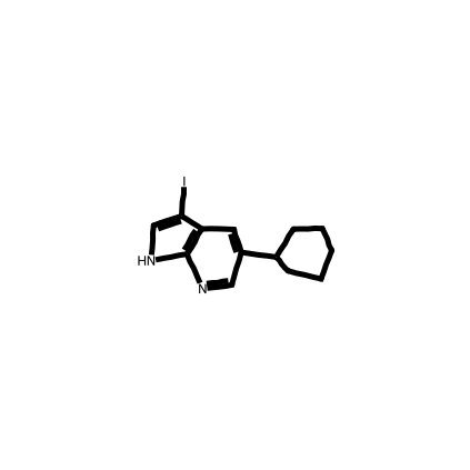 Ic1c[nH]c2ncc(C3CCCCC3)cc12